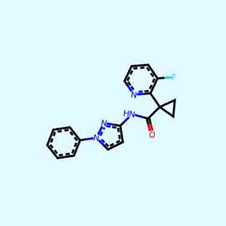 O=C(Nc1ccn(-c2ccccc2)n1)C1(c2ncccc2F)CC1